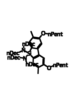 CCCCCCCCCCN(CCCCCCCCCC)[Si]1(N(CCCCCCCCCC)CCCCCCCCCC)c2cc(C)c(OCCCCC)cc2-c2cc(OCCCCC)c(C)cc21